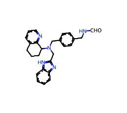 O=CNCc1ccc(CN(Cc2nc3ccccc3[nH]2)C2CCCc3cccnc32)cc1